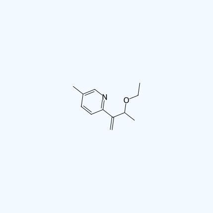 C=C(c1ccc(C)cn1)C(C)OCC